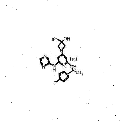 CC(C)C1(O)CN(c2cc(Nc3cnccn3)nc(N[C@@H](C)c3ccc(F)cc3)c2)C1.Cl